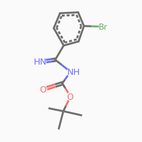 CC(C)(C)OC(=O)NC(=N)c1cccc(Br)c1